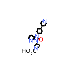 O=C(O)N1CCC(n2c(=O)n(-c3ccc(-c4ccncc4)cc3)c3cccnc32)C1